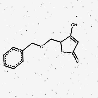 O=C1C=C(O)C(COCc2ccccc2)O1